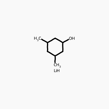 CC1CC(C)CC(O)C1.[LiH]